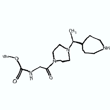 CC(C1CCNCC1)N1CCN(C(=O)CNC(=O)OC(C)(C)C)CC1